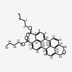 CCCCOC(=O)c1ccc2c3ccc4c5c(ccc(c6ccc(C(=O)OCCCC)c1c26)c53)COC4